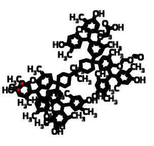 Cc1cc(C(c2cc(C)c(O)cc2C)c2cc(C3(c4cc(C)c(OCC(=O)O)c(C(c5cc(C)c(O)cc5C)c5cc(C)c(O)cc5C)c4)CCC(C(C)(C)C4CCC(c5cc(C)c(OCOC=O)c(C(c6cc(C)c(O)cc6C)c6cc(C)c(O)cc6C)c5)(c5cc(C)c(OCC(=O)O)c(C(c6cc(C)c(O)cc6C)c6cc(C)c(O)cc6C)c5)CC4)CC3)cc(C)c2OCOC=O)c(C)cc1O